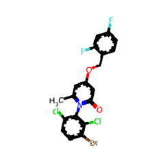 Cc1cc(OCc2ccc(F)cc2F)cc(=O)n1-c1c(Cl)ccc(Br)c1Cl